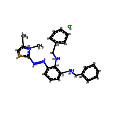 Cc1csc(N=Nc2cccc(NCc3ccccc3)c2NCc2ccccc2)[n+]1C.[Cl-]